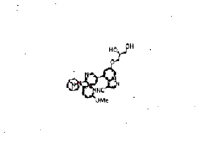 COc1ccc(CN2C3CC2CN(c2ccc(-c4cc(OCC(O)CO)cn5ncc(C#N)c45)cn2)C3)cn1